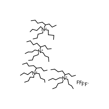 CCCCC(CCC)[N+](CCCC)(CCCC)CCCC.CCCCC(CCC)[N+](CCCC)(CCCC)CCCC.CCCCC(CCC)[N+](CCCC)(CCCC)CCCC.CCCCC(CCC)[N+](CCCC)(CCCC)CCCC.[F-].[F-].[F-].[F-]